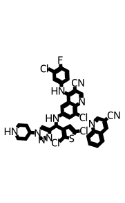 N#Cc1cnc2c(Cl)cc(NC(c3cn(C4CCNCC4)nn3)c3cc(Cl)sc3Cl)cc2c1Nc1ccc(F)c(Cl)c1.N#Cc1cnc2ccccc2c1